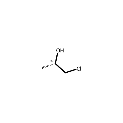 C[C@H](O)[CH]Cl